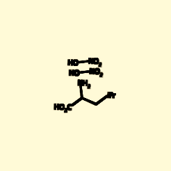 CC(C)CC(N)C(=O)O.O=[N+]([O-])O.O=[N+]([O-])O